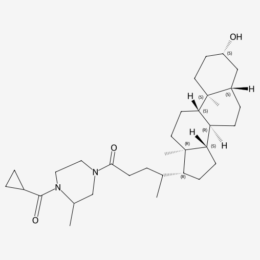 CC(CCC(=O)N1CCN(C(=O)C2CC2)C(C)C1)[C@H]1CC[C@H]2[C@@H]3CC[C@H]4C[C@@H](O)CC[C@]4(C)[C@H]3CC[C@]12C